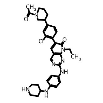 CCn1c(=O)c(-c2ccc(C3CCCN(C(C)=O)C3)cc2Cl)cc2cnc(Nc3ccc(NC4CCNCC4)cc3)nc21